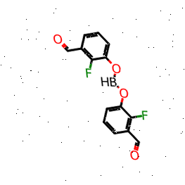 O=Cc1cccc(OBOc2cccc(C=O)c2F)c1F